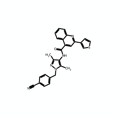 Cc1nn(Cc2ccc(C#N)cc2)c(C)c1NC(=O)c1cc(-c2ccsc2)nc2ccccc12